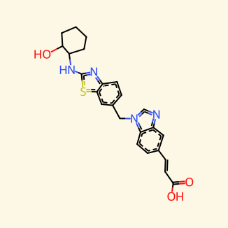 O=C(O)C=Cc1ccc2c(c1)ncn2Cc1ccc2nc(NC3CCCCC3O)sc2c1